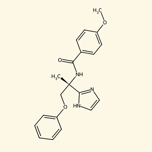 COc1ccc(C(=O)N[C@@](C)(COc2ccccc2)c2ncc[nH]2)cc1